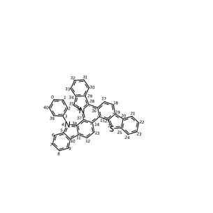 c1ccc(-n2c3ccccc3c3ccc4c5c(ccc6c7ccccc7sc65)c5c6ccccc6cn5c4c32)cc1